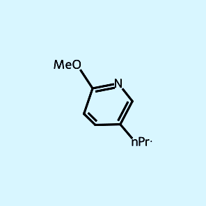 CC[CH]c1ccc(OC)nc1